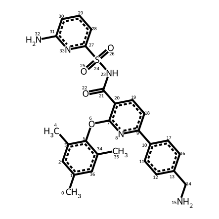 Cc1cc(C)c(Oc2nc(-c3ccc(CN)cc3)ccc2C(=O)NS(=O)(=O)c2cccc(N)n2)c(C)c1